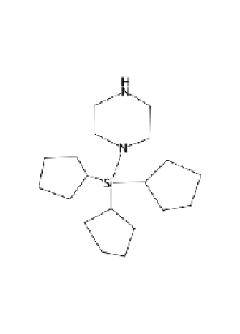 C1CCC([Si](C2CCCC2)(C2CCCC2)N2CCNCC2)C1